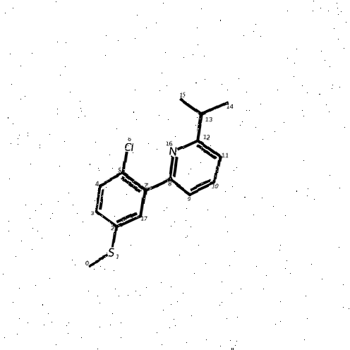 CSc1ccc(Cl)c(-c2cccc(C(C)C)n2)c1